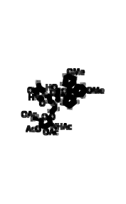 COc1ccc(C(OC[C@]2(CO)CN(CCO[C@@H]3O[C@H](COC(C)=O)[C@H](OC(C)=O)[C@H](OC(C)=O)[C@H]3NC(C)=O)C[C@H](n3cc(C)c(=O)[nH]c3=O)O2)(c2ccccc2)c2ccc(OC)cc2)cc1